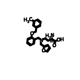 Cc1cccc(COc2ccccc2CN(CC[C@H](N)C(=O)O)Cc2ccco2)c1